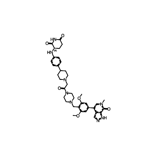 COc1cc(-c2cn(C)c(=O)c3[nH]ncc23)cc(OC)c1CN1CCN(C(=O)CN2CCC(c3ccc(N[C@@H]4CCC(=O)NC4=O)cc3)CC2)CC1